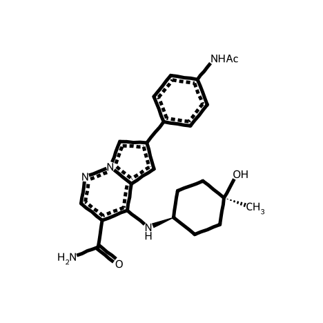 CC(=O)Nc1ccc(-c2cc3c(N[C@H]4CC[C@@](C)(O)CC4)c(C(N)=O)cnn3c2)cc1